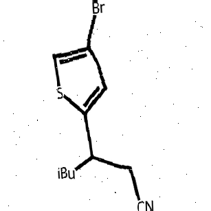 CCC(C)C(CC#N)c1cc(Br)cs1